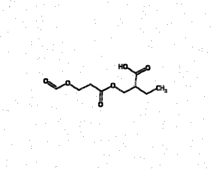 CCC(COC(=O)CCOC=O)C(=O)O